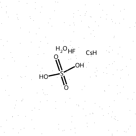 F.O.O=S(=O)(O)O.[CsH]